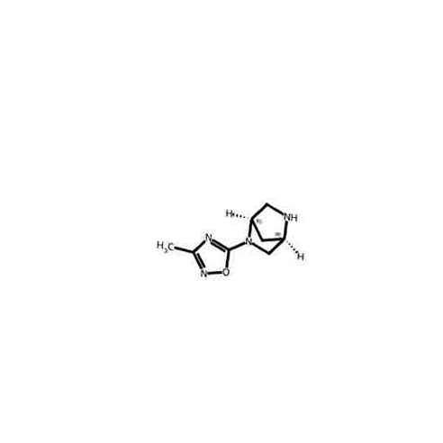 Cc1noc(N2C[C@H]3C[C@@H]2CN3)n1